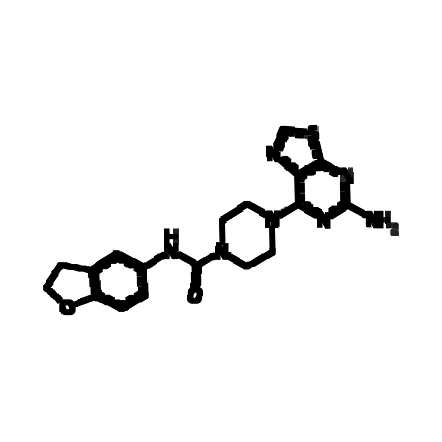 Nc1nc(N2CCN(C(=O)Nc3ccc4c(c3)CCO4)CC2)c2ncsc2n1